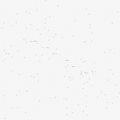 CCCCCCCCCCCCCCCCCCP(OC)OC